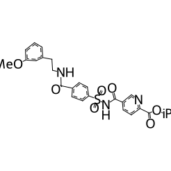 COc1cccc(CCNC(=O)c2ccc(S(=O)(=O)NC(=O)c3ccc(C(=O)OC(C)C)nc3)cc2)c1